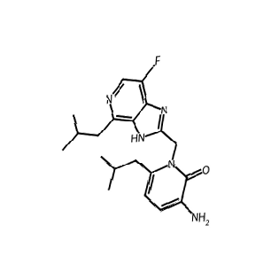 CC(C)Cc1ncc(F)c2nc(Cn3c(CC(C)C)ccc(N)c3=O)[nH]c12